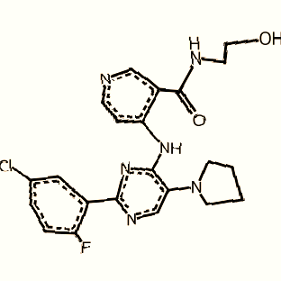 O=C(NCCO)c1cnccc1Nc1nc(-c2cc(Cl)ccc2F)ncc1N1CCCC1